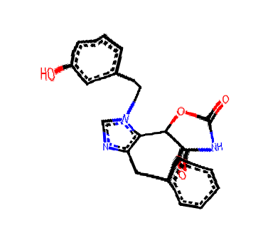 O=C1NC(=O)C(c2c(Cc3ccccc3)ncn2Cc2cccc(O)c2)O1